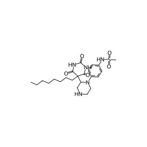 CCCCCCCCC1(C2CNCCN2c2ccc(NS(C)(=O)=O)cc2)C(=O)NC(=O)NC1=O